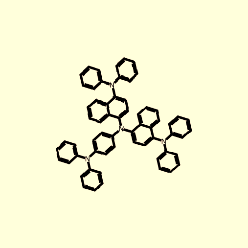 c1ccc(N(c2ccccc2)c2ccc(N(c3ccc(N(c4ccccc4)c4ccccc4)c4ccccc34)c3ccc(N(c4ccccc4)c4ccccc4)c4ccccc34)cc2)cc1